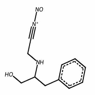 O=N[N+]#CCNC(CO)Cc1ccccc1